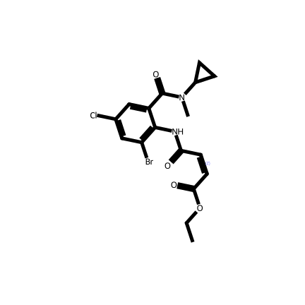 CCOC(=O)/C=C\C(=O)Nc1c(Br)cc(Cl)cc1C(=O)N(C)C1CC1